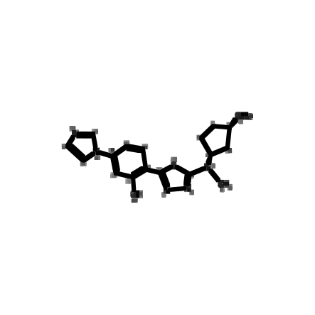 CO[C@@H]1CC[C@H](N(C)c2nnc(-c3ccc(-n4ccnc4)cc3O)s2)C1